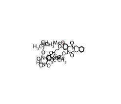 COc1cc2c(cc1OCCCOc1cc3c(cc1OC)C(=O)N1CCC[C@H]1C(=O)N3COCC[Si](C)(C)C)N(COCC[Si](C)(C)C)C(=O)C1Cc3ccccc3CN1C2=O